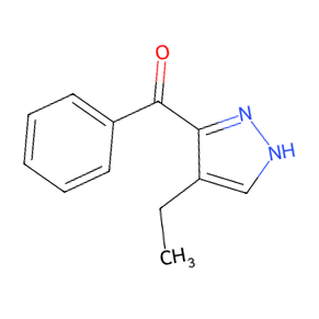 CCc1c[nH]nc1C(=O)c1ccccc1